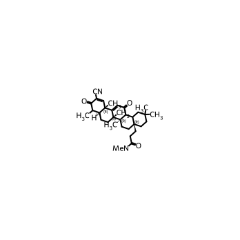 CNC(=O)CC[C@]12CCC(C)(C)CC1C1C(=O)C=C3[C@@]4(C)C=C(C#N)C(=O)C(C)[C@@H]4CC[C@@]3(C)[C@]1(C)CC2